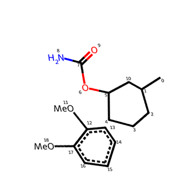 CC1CCCC(OC(N)=O)C1.COc1ccccc1OC